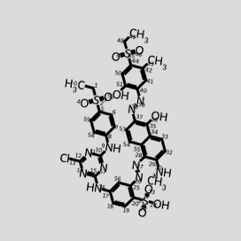 CCS(=O)(=O)c1ccc(Nc2nc(Cl)nc(Nc3ccc(S(=O)(=O)O)c(/N=N/c4c(NC)ccc5c(O)c(/N=N/c6cc(C)c(S(=O)(=O)CC)cc6O)ccc45)c3)n2)cc1